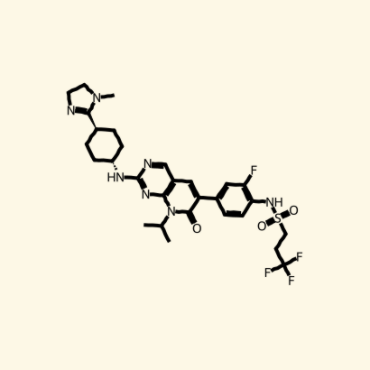 CC(C)n1c(=O)c(-c2ccc(NS(=O)(=O)CCC(F)(F)F)c(F)c2)cc2cnc(N[C@H]3CC[C@H](C4=NCCN4C)CC3)nc21